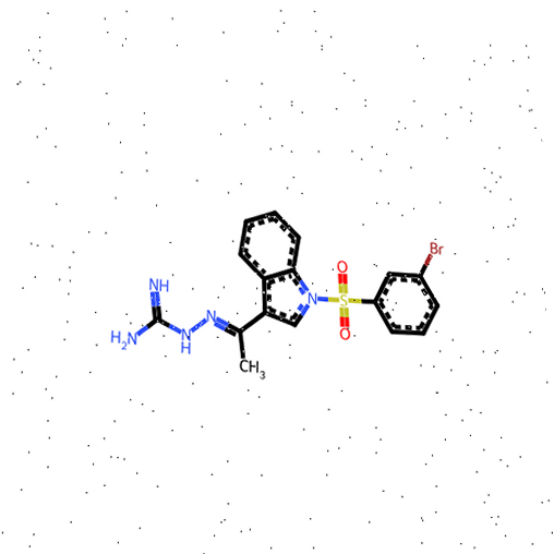 CC(=NNC(=N)N)c1cn(S(=O)(=O)c2cccc(Br)c2)c2ccccc12